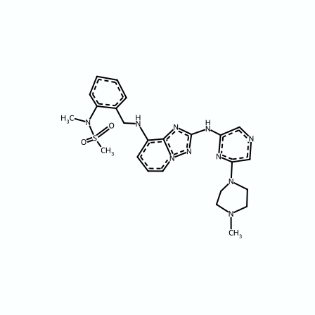 CN1CCN(c2cncc(Nc3nc4c(NCc5ccccc5N(C)S(C)(=O)=O)cccn4n3)n2)CC1